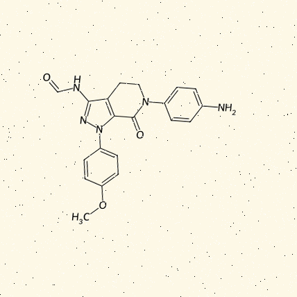 COc1ccc(-n2nc(NC=O)c3c2C(=O)N(c2ccc(N)cc2)CC3)cc1